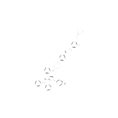 Cc1cc(S(=O)(=O)NC(=O)c2ccc(N3CCN(Cc4ccccc4-c4cn(C5=C6C7CC6C7=CC5)nc4C(=O)N(c4ccccc4)c4ccccc4)CC3)cc2)ccc1NCC1CCOCC1